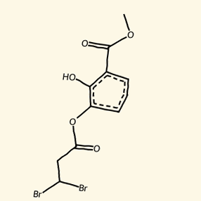 COC(=O)c1cccc(OC(=O)CC(Br)Br)c1O